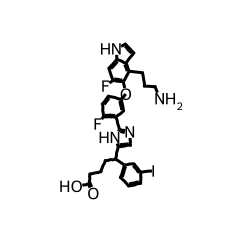 NCCCc1c(Oc2ccc(F)c(-c3ncc(C(CCCC(=O)O)c4cccc(I)c4)[nH]3)c2)c(F)cc2[nH]ccc12